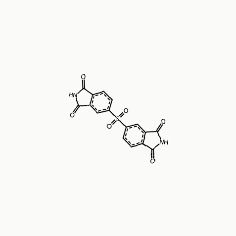 O=C1NC(=O)c2cc(S(=O)(=O)c3ccc4c(c3)C(=O)NC4=O)ccc21